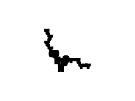 C/C(=C\COC(=O)CCCN(CCCCN(C)C)CCCC(=O)OC/C=C(\C)CCCC(C)CCCC(C)CCCC(C)C)CCCC(C)CCCC(C)CCCC(C)C